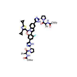 COC(=O)NC(C(=O)N1CCC[C@H]1c1ncc(-c2cc(F)c3c(c2)OC(c2sc(C4CC4)nc2C2CC2)n2c-3cc3cc(-c4cnc([C@@H]5CCCN5C(=O)C(NC(=O)OC)C(C)C)[nH]4)ccc32)[nH]1)C(C)C